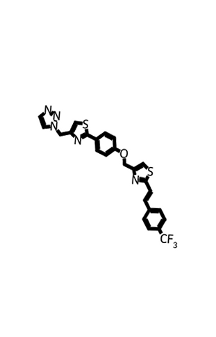 FC(F)(F)c1ccc(C=Cc2nc(COc3ccc(-c4nc(Cn5ccnn5)cs4)cc3)cs2)cc1